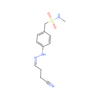 CNS(=O)(=O)Cc1ccc(N/N=C\CCC#N)cc1